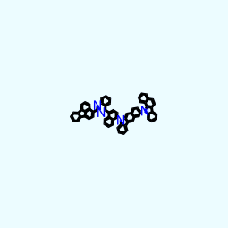 c1ccc2c(c1)-c1cccc3c(-c4nc(-c5ccc(-n6c7ccccc7c7cc8cc(-n9c%10ccccc%10c%10ccc%11ccccc%11c%109)ccc8cc76)c6ccccc56)c5ccccc5n4)ccc-2c13